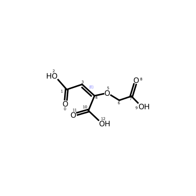 O=C(O)/C=C(/OCC(=O)O)C(=O)O